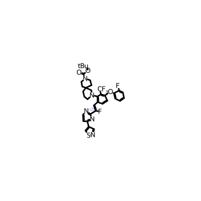 CC(C)(C)OC(=O)N1CCC2(CCCN(c3c(/C=C(\F)c4nccc(-c5cnsc5)n4)ccc(Oc4ccccc4F)c3C(F)(F)F)C2)CC1